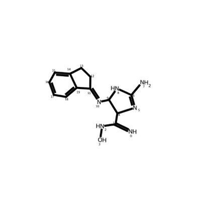 N=C(NO)C1N=C(N)NC1N=C1CCc2ccccc21